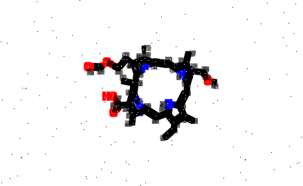 CCC1=C(C)c2cc3[nH]c(cc4nc(c(C)c5[nH]c(cc1n2)c(C)c5C(=O)O)[C@@H](CCOC=O)[C@@H]4C)c(C)c3COC